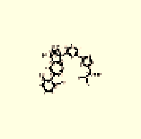 CC(C)[C@@H](O)c1coc(-c2cncc(C34CC[C@@H](c5cc(-c6c(F)cccc6F)nnc53)C4(C)C)n2)n1